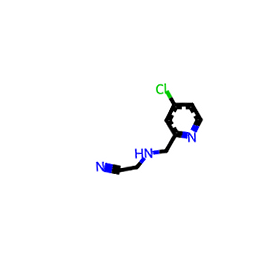 N#CCNCc1cc(Cl)ccn1